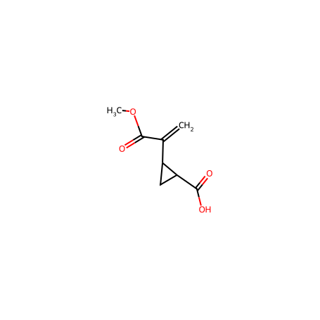 C=C(C(=O)OC)C1CC1C(=O)O